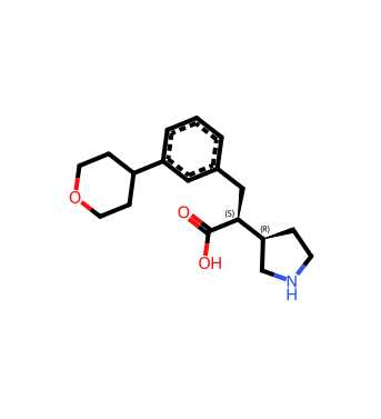 O=C(O)[C@@H](Cc1cccc(C2CCOCC2)c1)[C@H]1CCNC1